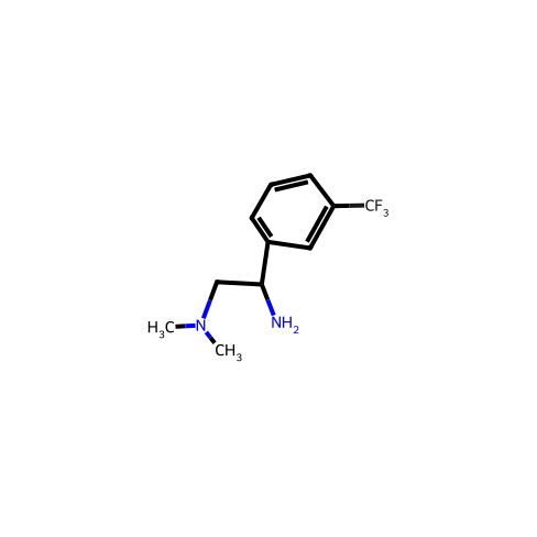 CN(C)CC(N)c1cccc(C(F)(F)F)c1